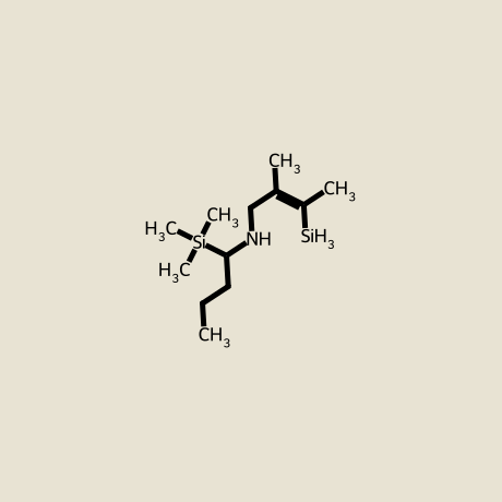 CCCC(NCC(C)=C(C)[SiH3])[Si](C)(C)C